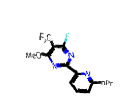 CCCc1cccc(-c2nc(F)c(C(F)(F)F)c(OC)n2)n1